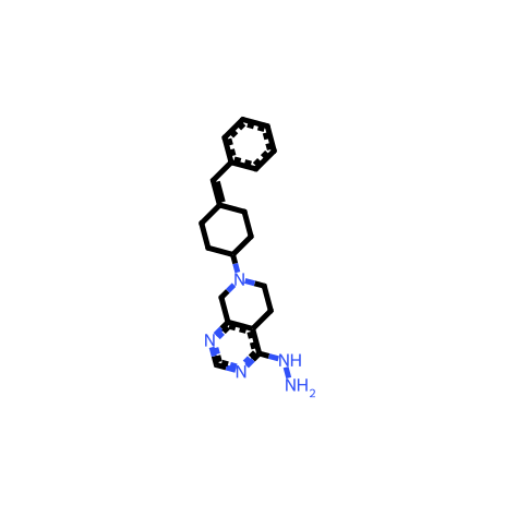 NNc1ncnc2c1CCN(C1CCC(=Cc3ccccc3)CC1)C2